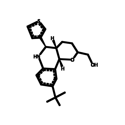 CC(C)(C)c1ccc2c(c1)[C@H]1OC(CO)CC[C@H]1[C@H](c1ccsc1)N2